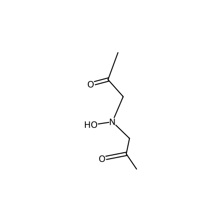 CC(=O)CN(O)CC(C)=O